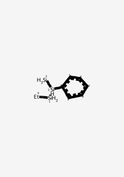 CC[SiH2][SiH]([SiH3])c1ccccc1